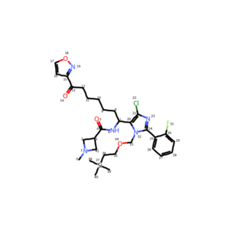 CN1CC(C(=O)NC(CCCCCC(=O)c2ccon2)c2c(Cl)nc(-c3ccccc3F)n2COCC[Si](C)(C)C)C1